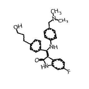 CN(C)Cc1ccc(NC(=C2C(=O)Nc3cc(F)ccc32)c2ccc(CCCO)cc2)cc1